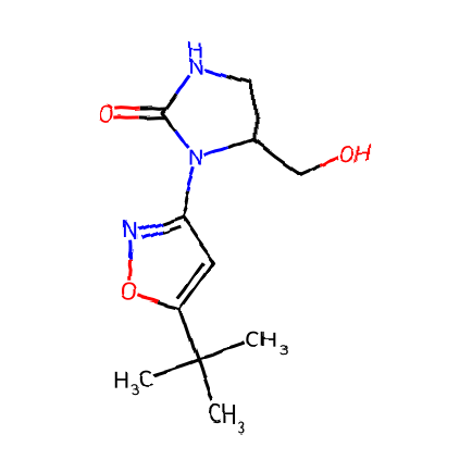 CC(C)(C)c1cc(N2C(=O)NCC2CO)no1